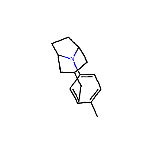 CCC1CC2CCC(C1)N2c1ccc(C)cc1